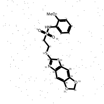 COc1ccccc1NS(=O)(=O)CCSc1nc2cc3c(cc2s1)OCO3